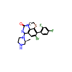 C[C@H]1CNCCN1c1nc(=O)n2c3c(c(-c4ccc(F)cc4F)c(Br)cc13)SCC2